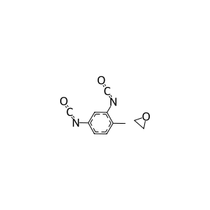 C1CO1.Cc1ccc(N=C=O)cc1N=C=O